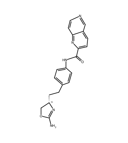 NC1=N[C@@H](CCc2ccc(NC(=O)c3ccc4cnccc4n3)cc2)CO1